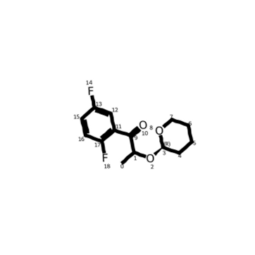 CC(O[C@@H]1CCCCO1)C(=O)c1cc(F)ccc1F